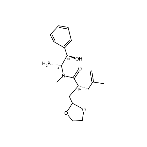 C=C(C)C[C@H](CC1OCCO1)C(=O)N(C)[C@H](P)[C@H](O)c1ccccc1